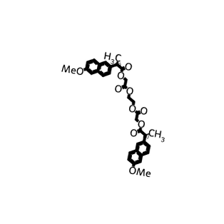 COc1ccc2cc([C@@H](C)C(=O)OCC(=O)OCCOC(=O)COC(=O)[C@H](C)c3ccc4cc(OC)ccc4c3)ccc2c1